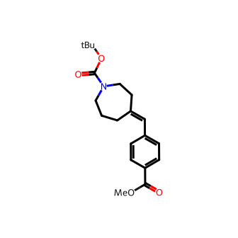 COC(=O)c1ccc(/C=C2\CCCN(C(=O)OC(C)(C)C)CC2)cc1